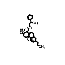 CCCc1ccc2c(c1)CCC1C(C)(CNCCC(O)c3ccccc3)CCCC21C.Cl